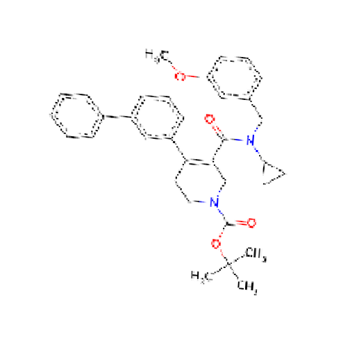 COc1cccc(CN(C(=O)C2=C(c3cccc(-c4ccccc4)c3)CCN(C(=O)OC(C)(C)C)C2)C2CC2)c1